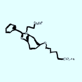 COCCn1c(-c2ccccc2)nc2ccc(OCCCCCC(=O)O)cc21